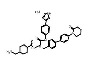 Cl.NCC1CCC(C(=O)N[C@@H](Cc2ccc(-c3ccc(N4CCOCC4=O)cc3)cc2)C(=O)Nc2ccc(-c3nn[nH]n3)cc2)CC1